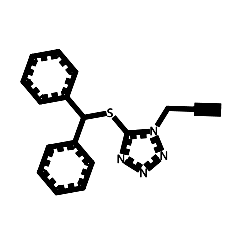 C#CCn1nnnc1SC(c1ccccc1)c1ccccc1